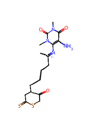 C/C(CCCCC1CC(=S)SCC1=O)=N\c1c(N)c(=O)n(C)c(=O)n1C